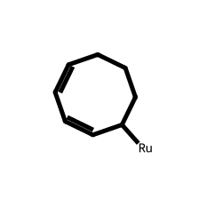 [Ru][CH]1/C=C\C=C/CCC1